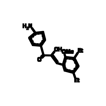 CCc1cc(C=C(O)C(=O)c2ccc(N)cc2)c(OC)c(CC)c1